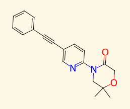 CC1(C)CN(c2ccc(C#Cc3ccccc3)cn2)C(=O)CO1